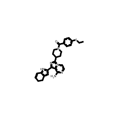 CCSc1ccc(C(=O)N2CCC(c3nc(-c4cc5c([nH]4)C=CCC5)c4c(N)nccn34)CC2)cc1